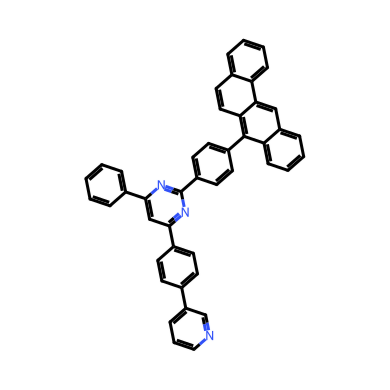 c1ccc(-c2cc(-c3ccc(-c4cccnc4)cc3)nc(-c3ccc(-c4c5ccccc5cc5c4ccc4ccccc45)cc3)n2)cc1